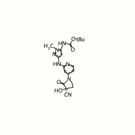 Cn1nc(Nc2cc(N3CC[C@](O)(C#N)C3=O)ccn2)cc1NC(=O)OC(C)(C)C